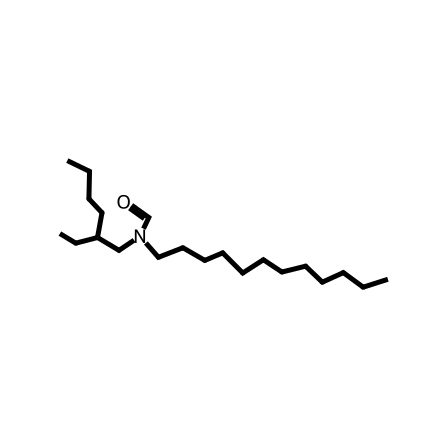 CCCCCCCCCCCCN(C=O)CC(CC)CCCC